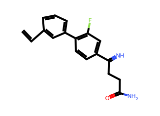 C=Cc1cccc(-c2ccc(C(=N)CCC(N)=O)cc2F)c1